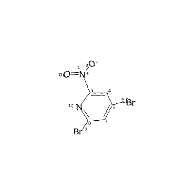 O=[N+]([O-])c1cc(Br)cc(Br)n1